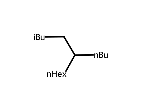 [CH2]C(CC)CC(CCCC)CCCCCC